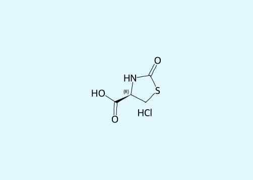 Cl.O=C1N[C@H](C(=O)O)CS1